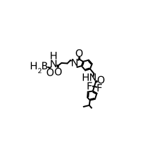 BC(=O)NC(=O)CCCN1Cc2cc(CNC(=O)C(F)(F)c3ccc(C(C)C)cc3)ccc2C1=O